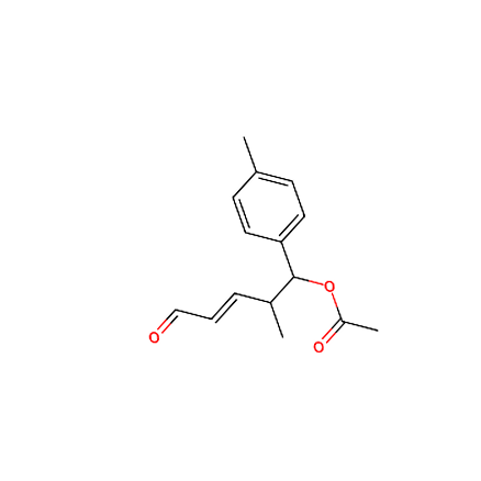 CC(=O)OC(c1ccc(C)cc1)C(C)C=CC=O